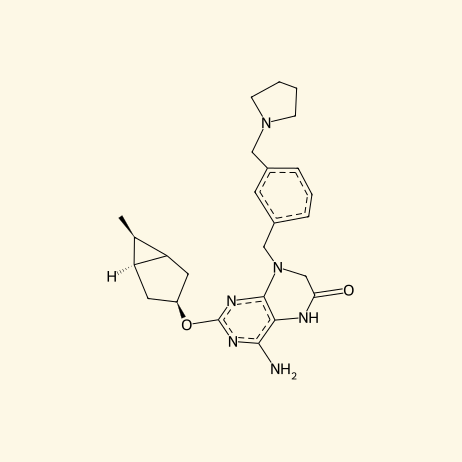 C[C@H]1C2C[C@@H](Oc3nc(N)c4c(n3)N(Cc3cccc(CN5CCCC5)c3)CC(=O)N4)C[C@H]21